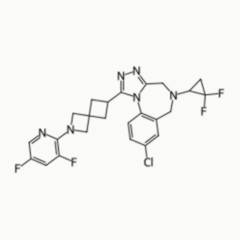 Fc1cnc(N2CC3(CC(c4nnc5n4-c4ccc(Cl)cc4CN(C4CC4(F)F)C5)C3)C2)c(F)c1